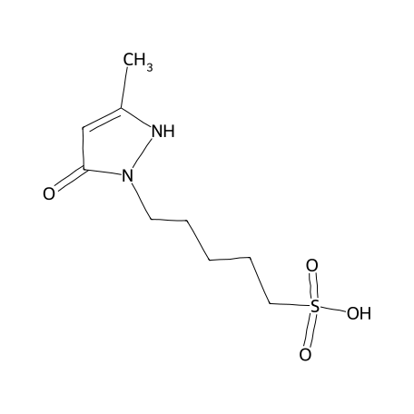 Cc1cc(=O)n(CCCCCS(=O)(=O)O)[nH]1